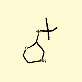 CC(C)(C)NC1CNCCO1